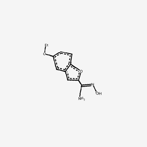 CCOc1ccc2oc(C(N)=NO)cc2c1